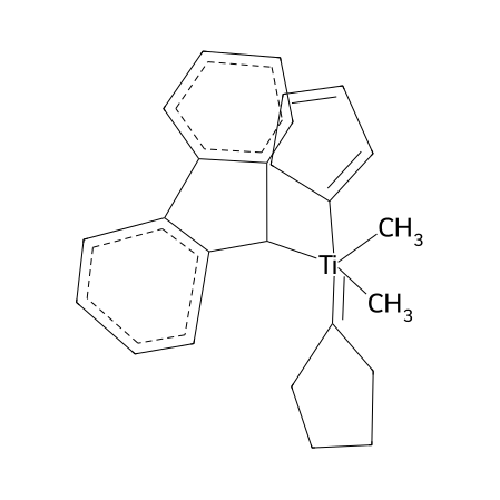 [CH3][Ti]([CH3])([C]1=CC=CC1)(=[C]1CCCC1)[CH]1c2ccccc2-c2ccccc21